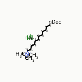 CCCCCCCCCCCCCCCCCCCCCC[N+](C)(C)C.Cl.[Cl-]